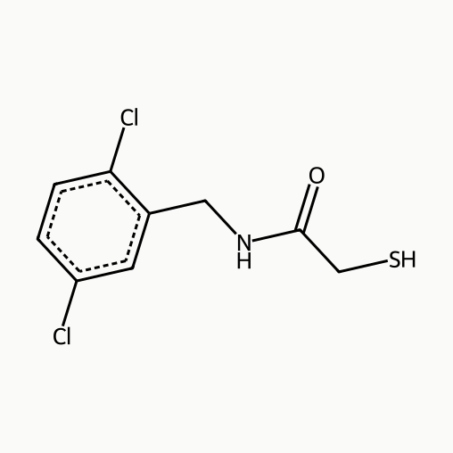 O=C(CS)NCc1cc(Cl)ccc1Cl